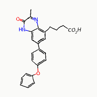 Cc1nc2c(CCCC(=O)O)cc(-c3ccc(Oc4ccccc4)cc3)cc2[nH]c1=O